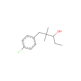 [CH2]CC(O)C(C)(C)Cc1ccc(F)cc1